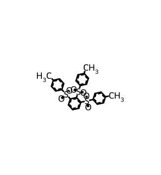 Cc1ccc(S(=O)(=O)c2cccc(S(=O)(=O)c3ccc(C)cc3)c2S(=O)(=O)c2ccc(C)cc2)cc1